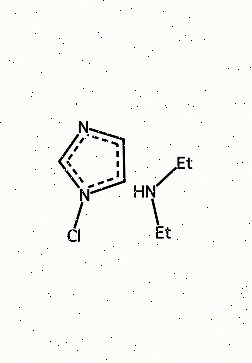 CCNCC.Cln1ccnc1